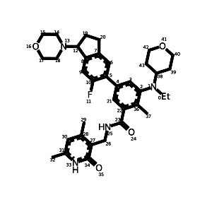 CCN(c1cc(-c2cc3c(cc2F)C(N2CCOCC2)CC3)cc(C(=O)NCc2c(C)cc(C)[nH]c2=O)c1C)C1CCOCC1